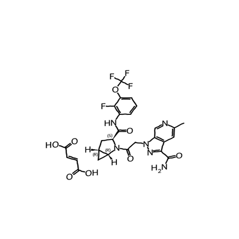 Cc1cc2c(C(N)=O)nn(CC(=O)N3[C@@H]4C[C@@H]4C[C@H]3C(=O)Nc3cccc(OC(F)(F)F)c3F)c2cn1.O=C(O)C=CC(=O)O